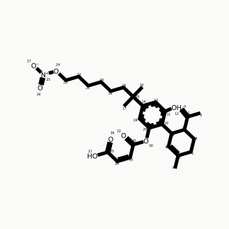 C=C(C)C1CCC(C)=CC1c1c(O)cc(C(C)(C)CCCCCCO[N+](=O)[O-])cc1OC(=O)/C=C\C(=O)O